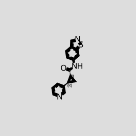 O=C(Nc1ccc2cnsc2c1)[C@@H]1C[C@H]1c1cccnc1